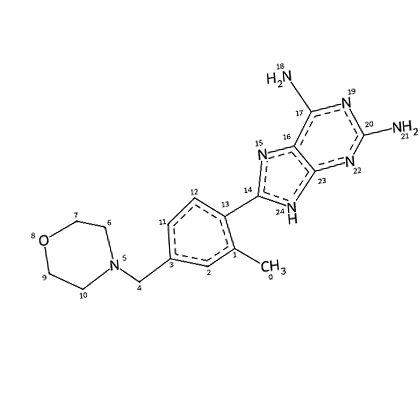 Cc1cc(CN2CCOCC2)ccc1-c1nc2c(N)nc(N)nc2[nH]1